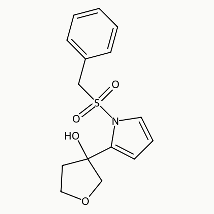 O=S(=O)(Cc1ccccc1)n1cccc1C1(O)CCOC1